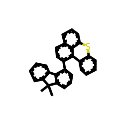 CC1(C)c2ccccc2-c2c(-c3ccc4cccc5c4c3-c3ccccc3S5)cccc21